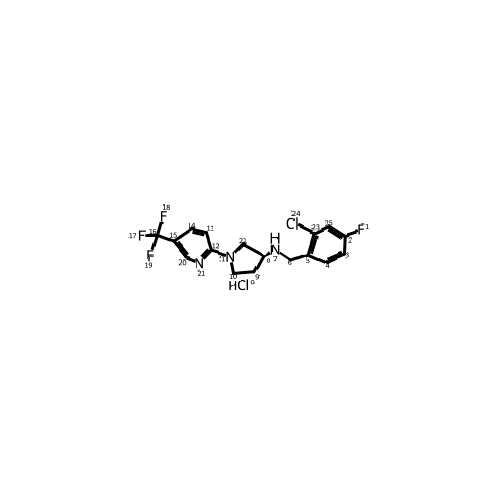 Cl.Fc1ccc(CN[C@H]2CCN(c3ccc(C(F)(F)F)cn3)C2)c(Cl)c1